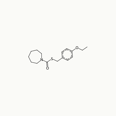 CCOc1ccc(CSC(=O)N2CCCCCC2)cc1